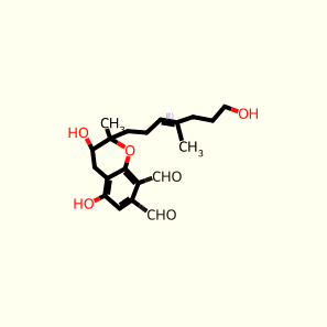 C/C(=C\CCC1(C)Oc2c(C=O)c(C=O)cc(O)c2CC1O)CCCO